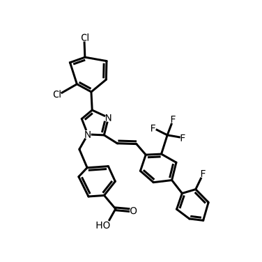 O=C(O)c1ccc(Cn2cc(-c3ccc(Cl)cc3Cl)nc2/C=C/c2ccc(-c3ccccc3F)cc2C(F)(F)F)cc1